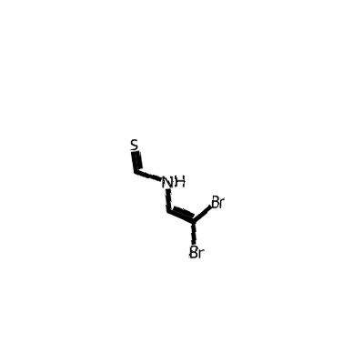 S=CNC=C(Br)Br